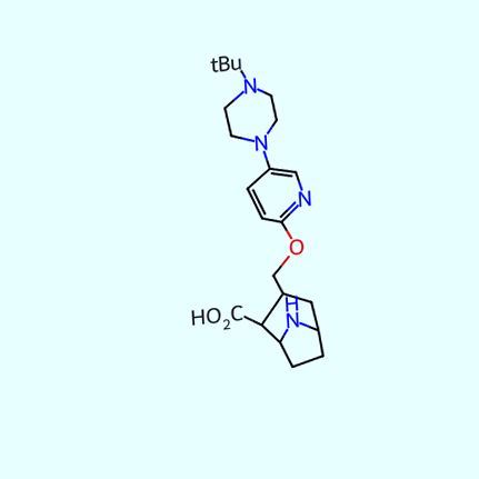 CC(C)(C)N1CCN(c2ccc(OCC3CC4CCC(N4)C3C(=O)O)nc2)CC1